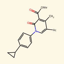 COC(=O)c1c(C)c(C(C)=O)cn(-c2ccc(C3CC3)cc2)c1=O